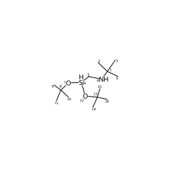 CC(C)(C)NC[SiH](OC(C)(C)C)OC(C)(C)C